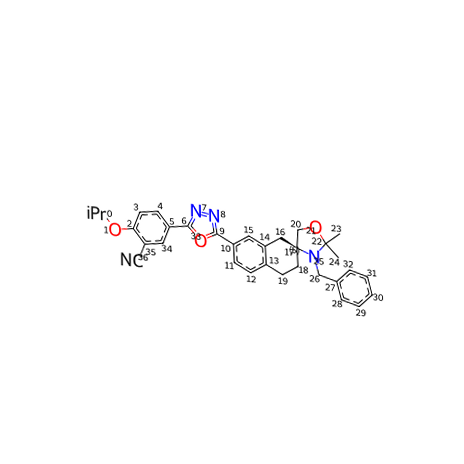 CC(C)Oc1ccc(-c2nnc(-c3ccc4c(c3)C[C@@]3(CC4)COC(C)(C)N3Cc3ccccc3)o2)cc1C#N